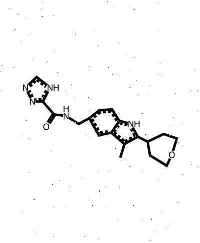 Cc1c(C2CCOCC2)[nH]c2ccc(CNC(=O)c3nnc[nH]3)cc12